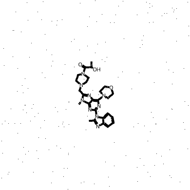 Cc1nc2ccccc2n1-c1nc(N2CCOCC2)c2nc(CN3CCN(C(=O)C(C)O)CC3)n(C)c2n1